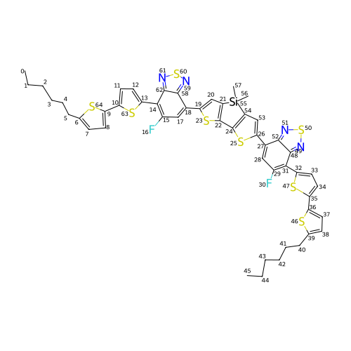 CCCCCCc1ccc(-c2ccc(-c3c(F)cc(-c4cc5c(s4)-c4sc(-c6cc(F)c(-c7ccc(-c8ccc(CCCCCC)s8)s7)c7nsnc67)cc4[Si]5(C)C)c4nsnc34)s2)s1